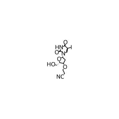 N#CCCOC1C[C@@H](n2cc(I)c(=O)[nH]c2=O)O[C@H]1CO